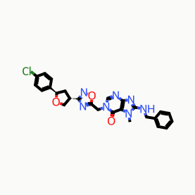 Cn1c(NCc2ccccc2)nc2ncn(Cc3nc([C@@H]4CO[C@@H](c5ccc(Cl)cc5)C4)no3)c(=O)c21